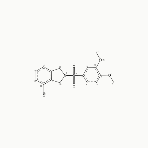 COc1ccc(S(=O)(=O)N2Cc3cccc(Br)c3C2)cc1OC